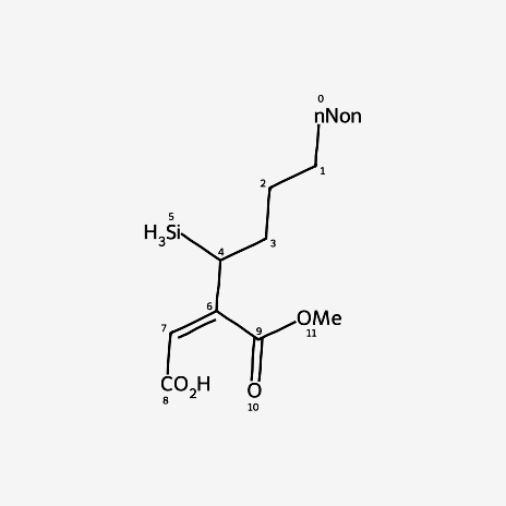 CCCCCCCCCCCCC([SiH3])/C(=C/C(=O)O)C(=O)OC